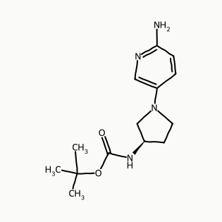 CC(C)(C)OC(=O)N[C@@H]1CCN(c2ccc(N)nc2)C1